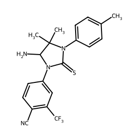 Cc1ccc(N2C(=S)N(c3ccc(C#N)c(C(F)(F)F)c3)C(N)C2(C)C)cc1